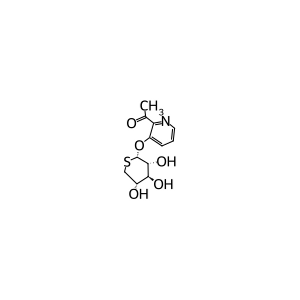 CC(=O)c1ncccc1O[C@H]1SC[C@@H](O)[C@H](O)[C@H]1O